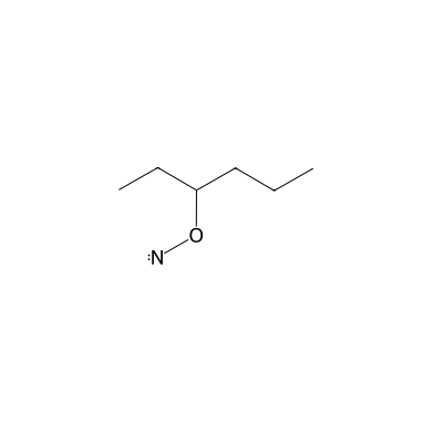 CCCC(CC)O[N]